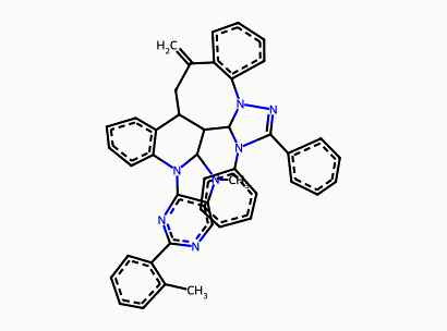 C=C1CC2c3ccccc3N3c4nc(-c5ccccc5C)ncc4N(C)C3C2C2N(N=C(c3ccccc3)N2c2ccccc2)c2ccccc21